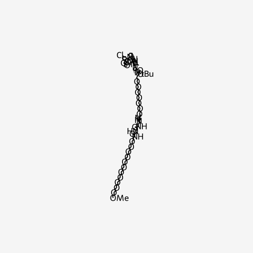 COCCOCCOCCOCCOCCOCCOCCOCCOCCOCCOCCOCCNC(=O)CNCC(=O)NCCn1cc(COCCOCCOCCOCCOCCOCCOCCCCN(C(=O)OC(C)(C)C)[C@H]2CCN(c3nc4cc([C@@H]5CCCCN5C(=O)c5cc(Cl)ccc5NS(C)(=O)=O)nn4cc3C)C2)nn1